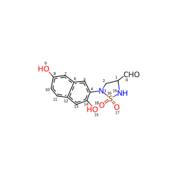 O=CC1CN(c2cc3cc(O)ccc3cc2O)S(=O)(=O)N1